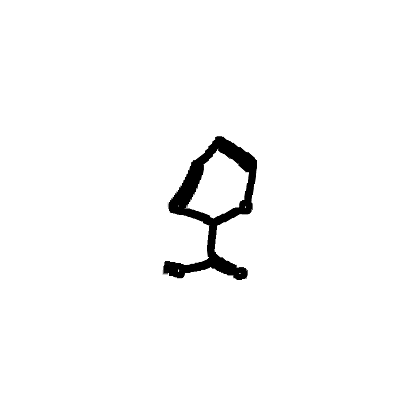 O=C(O)C1C=CC=CO1